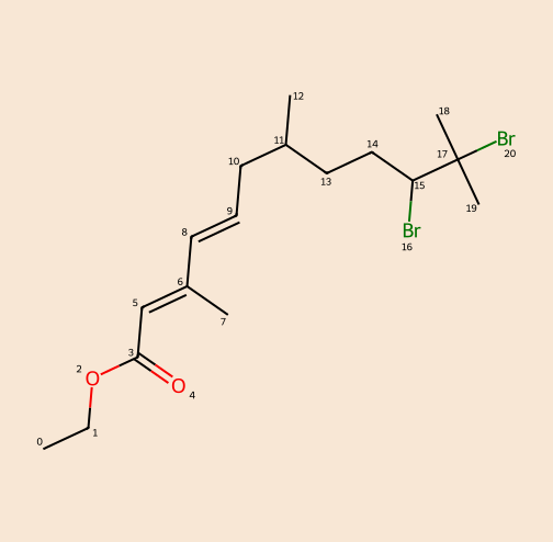 CCOC(=O)/C=C(C)/C=C/CC(C)CCC(Br)C(C)(C)Br